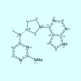 CNc1nccc(N(C)[C@@H]2CCN(c3ncnc4[nH]ccc34)C2)n1